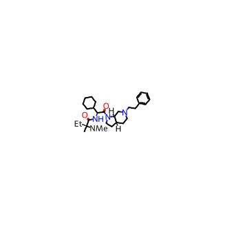 CC[C@](C)(NC)C(=O)N[C@H](C(=O)N1CC[C@H]2CCN(CCc3ccccc3)C[C@H]21)C1CCCCC1